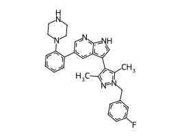 Cc1nn(Cc2cccc(F)c2)c(C)c1-c1c[nH]c2ncc(-c3ccccc3N3CCNCC3)cc12